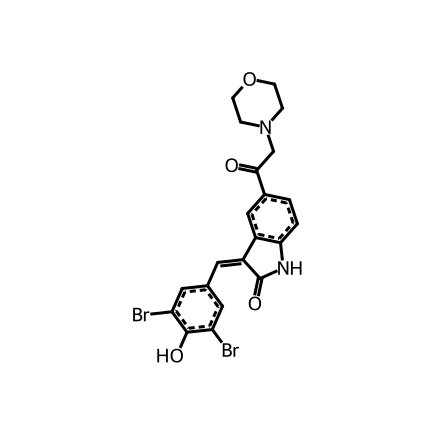 O=C1Nc2ccc(C(=O)CN3CCOCC3)cc2C1=Cc1cc(Br)c(O)c(Br)c1